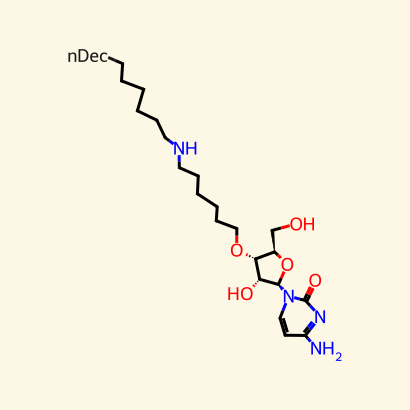 CCCCCCCCCCCCCCCCNCCCCCCO[C@H]1[C@@H](O)[C@H](n2ccc(N)nc2=O)O[C@@H]1CO